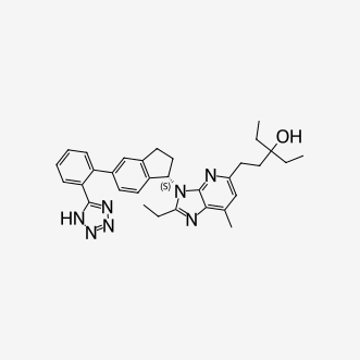 CCc1nc2c(C)cc(CCC(O)(CC)CC)nc2n1[C@H]1CCc2cc(-c3ccccc3-c3nnn[nH]3)ccc21